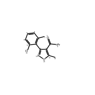 [CH2]CCC(=O)c1c(-c2c(C)cccc2Cl)noc1C